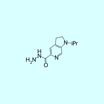 CC(C)N1CCc2cc(C(=O)NN)ncc21